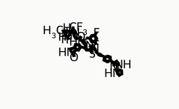 C[C@@H]1[C@@H]2c3c(C(F)(F)F)nn(CC(=O)N[C@@H](Cc4cc(F)cc(F)c4)c4nc5nc(C#Cc6ccc(-c7c[nH]c([C@@H]8CCCN8)n7)cc6)sc5cc4-c4ccc5c(c4)C(=O)NC5)c3C(F)(F)[C@H]12